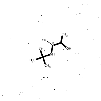 CC(O)[C@@H](O)NC(C)(C)C